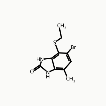 CCSc1c(Br)cc(C)c2[nH]c(=O)[nH]c12